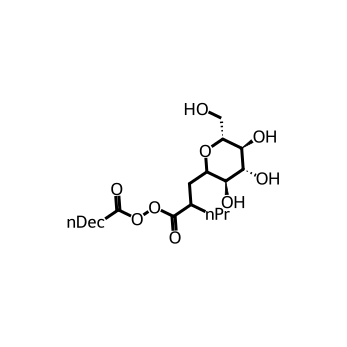 CCCCCCCCCCC(=O)OOC(=O)C(CCC)CC1O[C@H](CO)[C@@H](O)[C@H](O)[C@H]1O